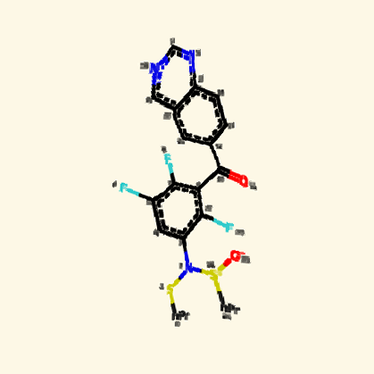 CCCSN(c1cc(F)c(F)c(C(=O)c2ccc3ncncc3c2)c1F)[S+]([O-])CCC